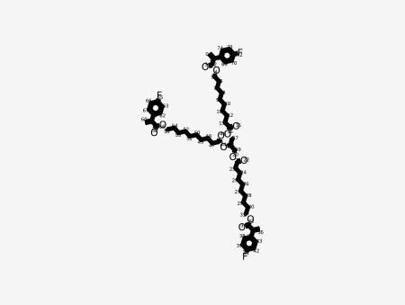 C=C(C(=O)OCCCCCCCCCC(=O)OCC(COC(=O)CCCCCCCCCOC(=O)C(=C)c1ccc(F)cc1)OC(=O)CCCCCCCCCOC(=O)C(=C)c1ccc(F)cc1)c1ccc(F)cc1